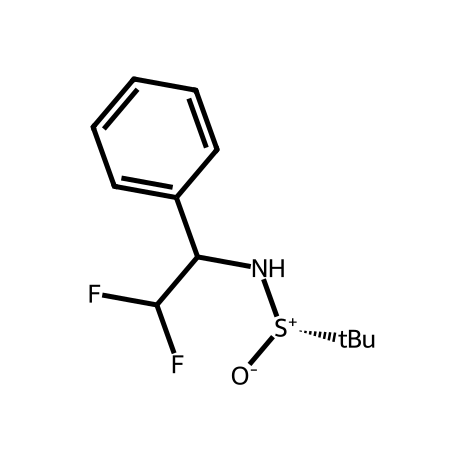 CC(C)(C)[S@+]([O-])NC(c1ccccc1)C(F)F